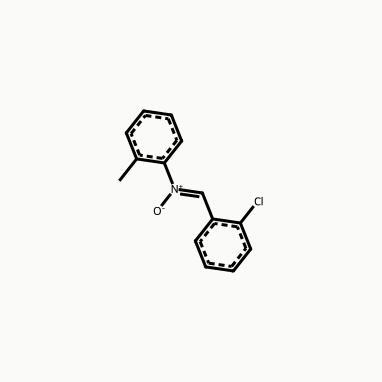 Cc1ccccc1[N+]([O-])=Cc1ccccc1Cl